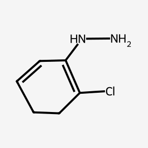 NNC1=C(Cl)CCC=C1